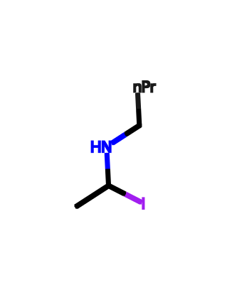 CCCCNC(C)I